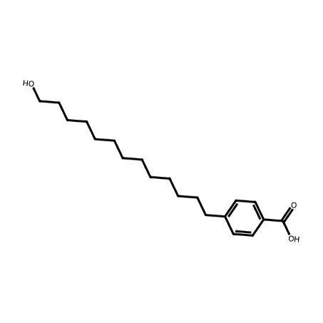 O=C(O)c1ccc(CCCCCCCCCCCCCO)cc1